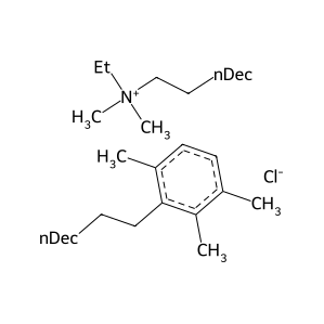 CCCCCCCCCCCC[N+](C)(C)CC.CCCCCCCCCCCCc1c(C)ccc(C)c1C.[Cl-]